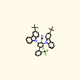 CC(C)(C)c1ccc2c(c1)c1ccccc1n2-c1cc(-c2ccccc2C(F)(F)F)cc(-n2c3ccccc3c3cc(C(C)(C)C)ccc32)c1C#N